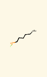 CCCCCCCCCPF